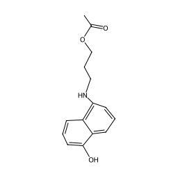 CC(=O)OCCCNc1cccc2c(O)cccc12